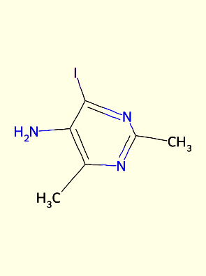 Cc1nc(C)c(N)c(I)n1